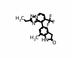 CCc1nc2c(-c3cc(C)c4c(c3)CC(=O)N4)c(C(F)(F)F)ccn2n1